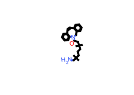 CC(C)(CN)CCCC(C)(C)CC(=O)N1Cc2ccccc2C#Cc2ccccc21